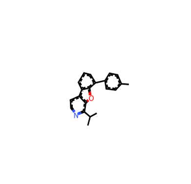 Cc1ccc(-c2cccc3c2oc2c(C(C)C)nccc23)cc1